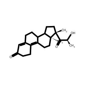 C[C@H](O)C(=O)[C@@]1(C)CCC2C3CCC4=CC(=O)CCC4=C3CC[C@@]21C